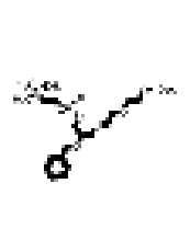 CCCCCCCCCCOCCOCCOCC(COP(O)OCC[N+](C)(C)C)OCc1ccccc1